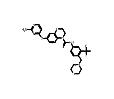 Nc1nccc(Oc2ccc3c(c2)OCCN3C(=O)Nc2ccc(CN3CCOCC3)c(C(F)(F)F)c2)n1